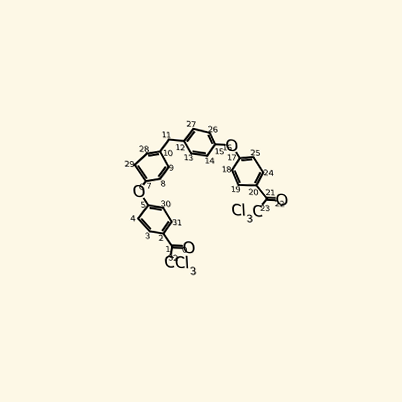 O=C(c1ccc(Oc2ccc(Cc3ccc(Oc4ccc(C(=O)C(Cl)(Cl)Cl)cc4)cc3)cc2)cc1)C(Cl)(Cl)Cl